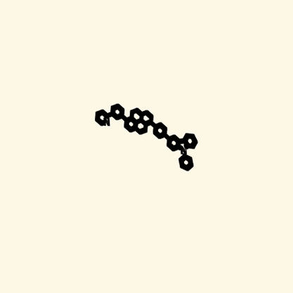 C1=CC(c2ccc(-c3ccc4c(c3)c3ccccc3n4-c3ccccc3)cc2)=C2C=Cc3ccc(-c4cccc(-c5ccccn5)c4)c4c3C2C1=CC4